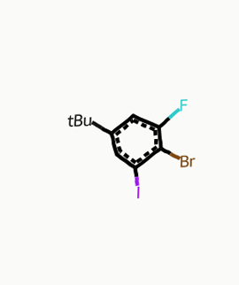 CC(C)(C)c1cc(F)c(Br)c(I)c1